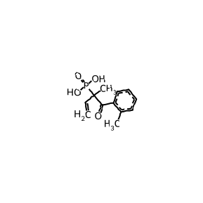 C=CC(C)(C(=O)c1ccccc1C)P(=O)(O)O